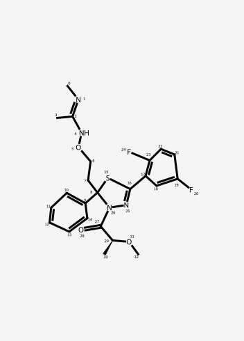 C/N=C(\C)NOCCC1(c2ccccc2)SC(c2cc(F)ccc2F)=NN1C(=O)[C@H](C)OC